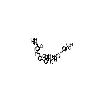 COc1cc(/C(F)=C/c2cccc(-c3cccc(NC(=O)c4nc5c(n4C)CCN(CCC46CCC(C(=O)O)(CC4)C6)C5)c3Cl)c2Cl)ncc1CN1CC(C)(O)C1